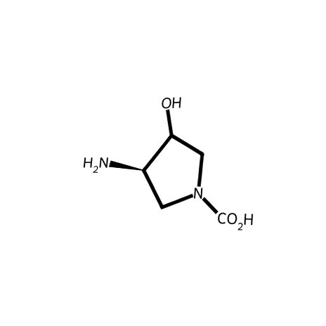 N[C@@H]1CN(C(=O)O)CC1O